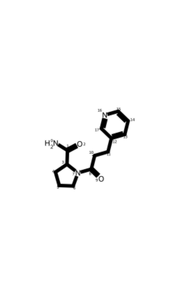 NC(=O)C1CCCN1C(=O)[CH]Cc1cccnc1